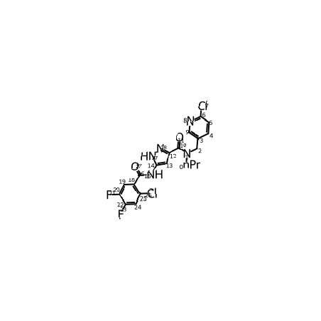 CCCN(Cc1ccc(Cl)nc1)C(=O)c1cc(NC(=O)c2cc(F)c(F)cc2Cl)[nH]n1